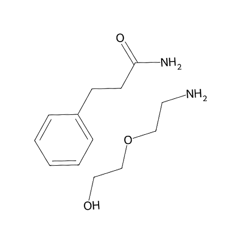 NC(=O)CCc1ccccc1.NCCOCCO